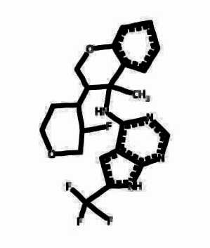 CC1(Nc2ncnc3[nH]c(C(F)(F)F)cc23)c2ccccc2OCC1C1CCOCC1F